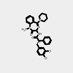 CN1C(=O)C(NC(=O)[C@H](Cc2ccc(Cl)c(Cl)c2)c2ccccc2)N=C(N2CCCCC2)c2ccccc21